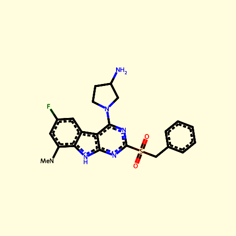 CNc1cc(F)cc2c1[nH]c1nc(S(=O)(=O)Cc3ccccc3)nc(N3CCC(N)C3)c12